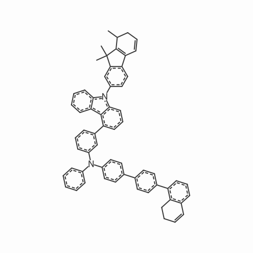 CC1CC=CC2=C1C(C)(C)c1cc(-n3c4ccccc4c4c(-c5cccc(N(c6ccccc6)c6ccc(-c7ccc(-c8cccc9c8CCC=C9)cc7)cc6)c5)cccc43)ccc12